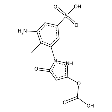 Cc1c(N)cc(S(=O)(=O)O)cc1-n1[nH]c(OC(=O)O)cc1=O